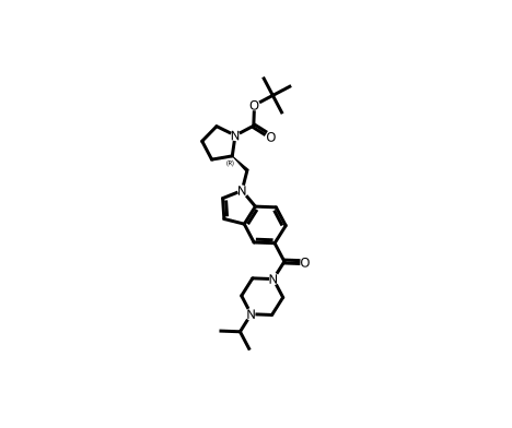 CC(C)N1CCN(C(=O)c2ccc3c(ccn3C[C@H]3CCCN3C(=O)OC(C)(C)C)c2)CC1